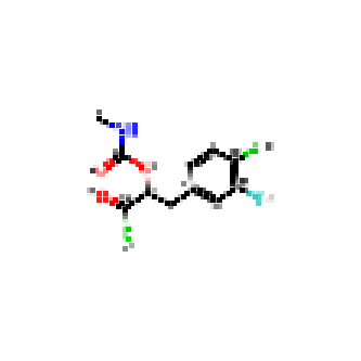 CNC(=O)OC(Cc1ccc(Cl)c(F)c1)C(=O)Cl